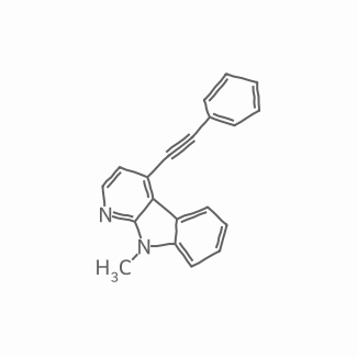 Cn1c2ccccc2c2c(C#Cc3ccccc3)ccnc21